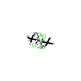 CC(C)C(C)(C)[Si](Cl)(Cl)[Si](Cl)(Cl)C(C)(C)C(C)C